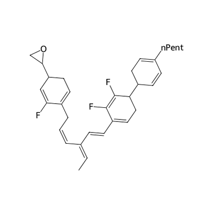 C/C=C(\C=C/CC1=CCC(C2CO2)C=C1F)/C=C/C1=CCC(C2C=CC(CCCCC)=CC2)C(F)=C1F